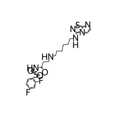 O=C(CCNCCCCCCNc1nsc2nccn12)NS(=O)(=O)c1ccc(F)cc1F